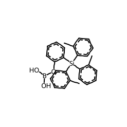 Cc1ccccc1[Si](c1ccccc1C)(c1ccccc1C)c1ccccc1OB(O)O